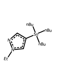 CCC[CH2][Sn]([CH2]CCC)([CH2]CCC)[c]1cnn(CC)c1